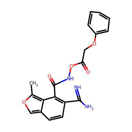 Cc1occ2ccc(C(=N)N)c(C(=O)NOC(=O)COc3ccccc3)c12